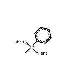 CCCCC[N+](C)(CCCCC)c1ccccc1